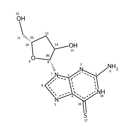 Nc1nc2c(ncn2[C@@H]2O[C@H](CO)CC2O)c(=S)[nH]1